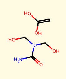 C=C(O)O.NC(=O)N(CO)CO